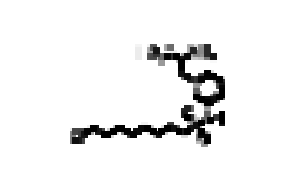 NC(Cc1cccc(NS(=O)(=O)CCCCCCCCCl)c1)C(=O)O